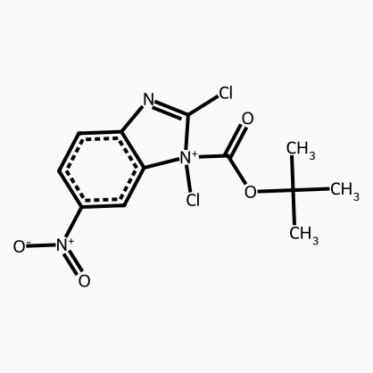 CC(C)(C)OC(=O)[N+]1(Cl)C(Cl)=Nc2ccc([N+](=O)[O-])cc21